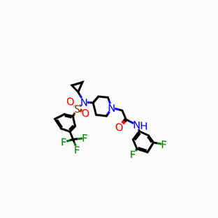 O=C(CN1CCC(N(C2CC2)S(=O)(=O)c2cccc(C(F)(F)F)c2)CC1)Nc1cc(F)cc(F)c1